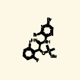 CC(C)(C)[Si](C)(C)OC(C(=N)Nc1ncc(Br)nc1Br)c1c(F)cccc1F